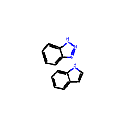 c1ccc2[nH]ccc2c1.c1ccc2[nH]nnc2c1